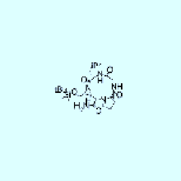 CC(C)C[C@@H]1NC(=O)CNC(=O)[C@@H]2CCCN2[C@@H](C(N)=O)[C@@H]2[C@@H](CO[Si](C)(C)C(C)(C)C)N2C1=O